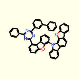 c1ccc(-c2cccc(-c3nc(-c4ccccc4)nc(-c4cccc5oc6c(-n7c8ccccc8c8ccc9c%10ccccc%10oc9c87)cccc6c45)n3)c2)cc1